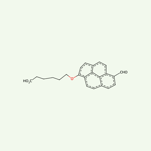 O=Cc1ccc2ccc3c(OCCCCCC(=O)O)ccc4ccc1c2c43